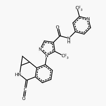 O=C=C1NC2CC2c2c1cccc2-n1ncc(C(=O)Nc2ccnc(C(F)(F)F)c2)c1C(F)(F)F